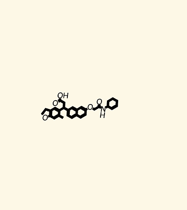 Cc1cc2c(cc1C(CC(=O)O)c1ccc3ccc(OCC(=O)NC4C=CCCC4)cc3c1)CCO2